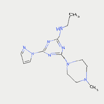 CCNc1nc(N2CCN(C)CC2)nc(-n2cccn2)n1